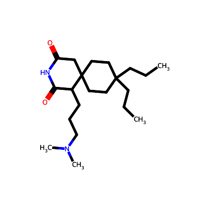 CCCC1(CCC)CCC2(CC1)CC(=O)NC(=O)C2CCCN(C)C